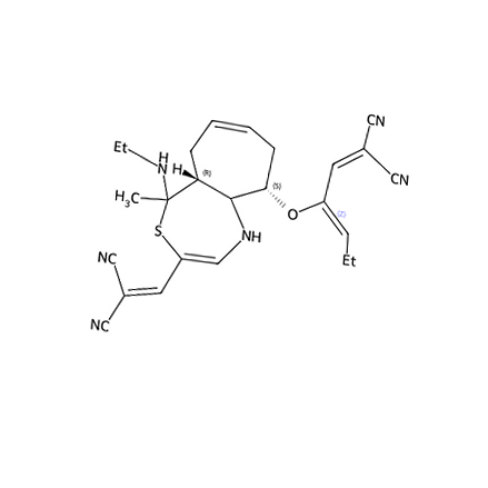 CC/C=C(/C=C(C#N)C#N)O[C@H]1CC=CC[C@@H]2C1NC=C(C=C(C#N)C#N)SC2(C)NCC